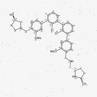 C=C1CC[C@@H](CNCc2ncc(-c3cccc(-c4cccc(-c5cnc(CN6CC[C@@H](O)C6)c(OC)n5)c4Cl)c3Cl)nc2OC)N1